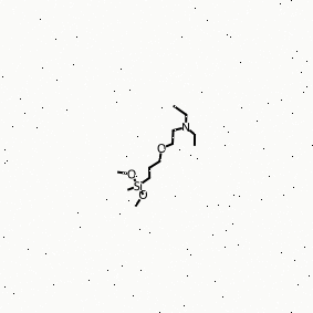 CCN(CC)CCOCCC[Si](C)(OC)OC